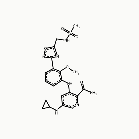 COc1c(Nc2cc(NC3CC3)nnc2C(N)=O)cccc1-c1noc(CNS(C)(=O)=O)n1